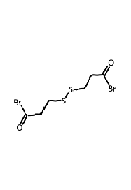 O=C(Br)CCSSCCC(=O)Br